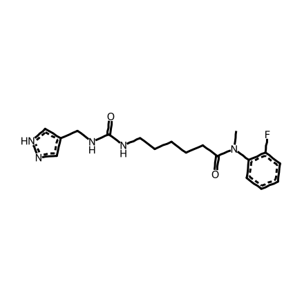 CN(C(=O)CCCCCNC(=O)NCc1cn[nH]c1)c1ccccc1F